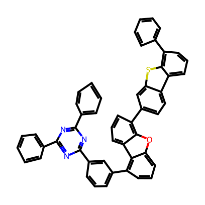 c1ccc(-c2nc(-c3ccccc3)nc(-c3cccc(-c4cccc5oc6c(-c7ccc8c(c7)sc7c(-c9ccccc9)cccc78)cccc6c45)c3)n2)cc1